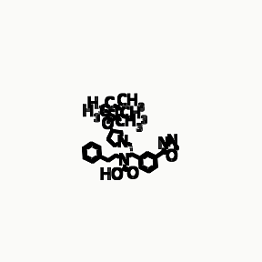 CC(C)(C)[Si](C)(C)O[C@H]1CCN(C[C@H](c2cccc(-c3nnco3)c2)N(CCc2ccccc2)C(=O)O)C1